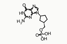 Nc1nc2c(ncn2[C@H]2CC[C@@H](COP(=O)(O)O)C2)c(=O)[nH]1